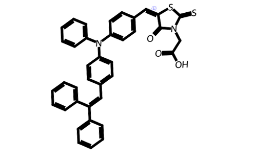 O=C(O)CN1C(=O)/C(=C\c2ccc(N(c3ccccc3)c3ccc(C=C(c4ccccc4)c4ccccc4)cc3)cc2)SC1=S